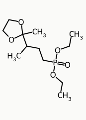 CCOP(=O)(CCC(C)C1(C)OCCO1)OCC